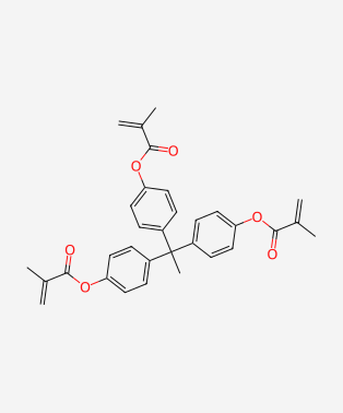 C=C(C)C(=O)Oc1ccc(C(C)(c2ccc(OC(=O)C(=C)C)cc2)c2ccc(OC(=O)C(=C)C)cc2)cc1